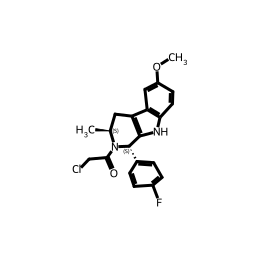 COc1ccc2[nH]c3c(c2c1)C[C@H](C)N(C(=O)CCl)[C@H]3c1ccc(F)cc1